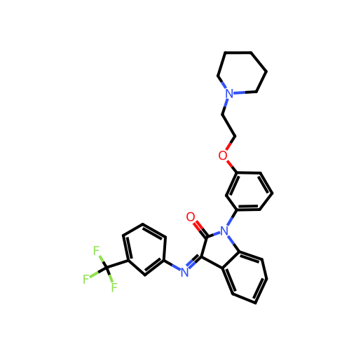 O=C1C(=Nc2cccc(C(F)(F)F)c2)c2ccccc2N1c1cccc(OCCN2CCCCC2)c1